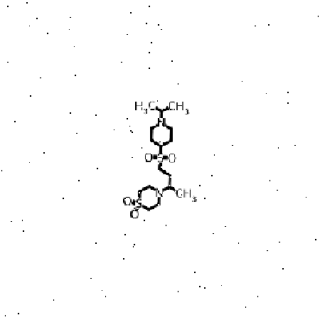 CC(C)N1CCC(S(=O)(=O)CCC(C)N2CCS(=O)(=O)CC2)CC1